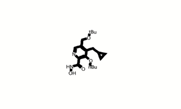 CCCCOc1c(C(=O)NO)ncc(COC(C)(C)C)c1CC1CC1